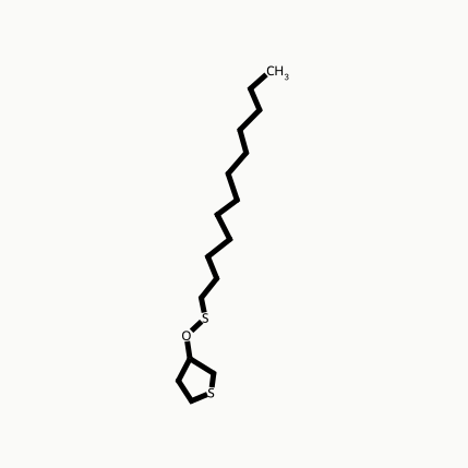 CCCCCCCCCCCCSOC1CCSC1